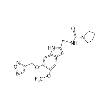 O=C(NCc1cc2cc(OC(F)(F)F)c(OCc3ccon3)cc2[nH]1)N1CCCC1